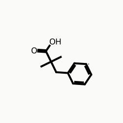 CC(C)(Cc1c[c]ccc1)C(=O)O